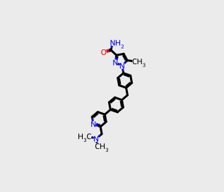 Cc1cc(C(N)=O)nn1-c1ccc(Cc2ccc(-c3ccnc(CN(C)C)c3)cc2)cc1